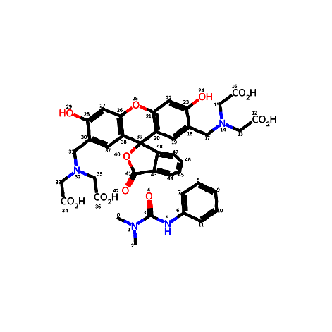 CN(C)C(=O)Nc1ccccc1.O=C(O)CN(CC(=O)O)Cc1cc2c(cc1O)Oc1cc(O)c(CN(CC(=O)O)CC(=O)O)cc1C21OC(=O)c2ccccc21